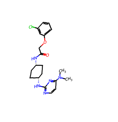 CN(C)c1ccnc(N[C@H]2CC[C@@H](NC(=O)COc3cccc(Cl)c3)CC2)n1